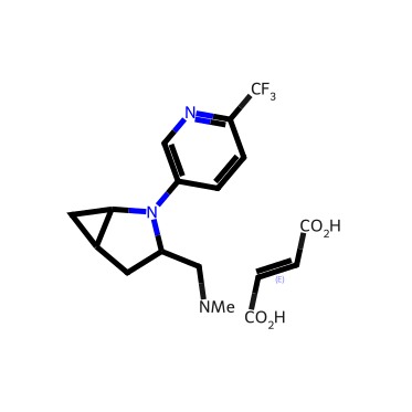 CNCC1CC2CC2N1c1ccc(C(F)(F)F)nc1.O=C(O)/C=C/C(=O)O